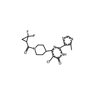 Cc1ncsc1-c1nc(C2CCN(C(=O)C3CC3(F)F)CC2)c(Cl)c(=O)[nH]1